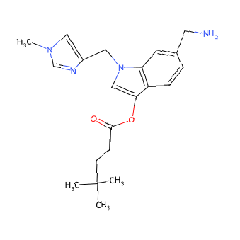 Cn1cnc(Cn2cc(OC(=O)CCC(C)(C)C)c3ccc(CN)cc32)c1